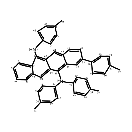 Cc1ccc(Nc2c3ccccc3cc3c(N(c4ccc(C)cc4)c4ccc(C)cc4)c4cc(-c5ccc(C)cc5)ccc4cc23)cc1